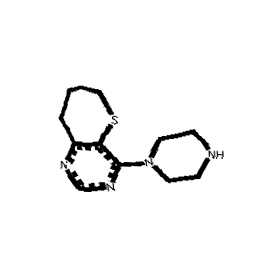 c1nc2c(c(N3CCNCC3)n1)SCCC2